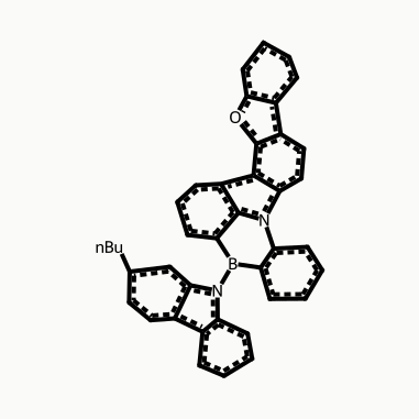 CCCCc1ccc2c3ccccc3n(B3c4ccccc4-n4c5ccc6c7ccccc7oc6c5c5cccc3c54)c2c1